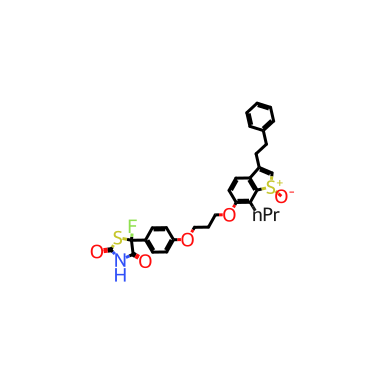 CCCc1c(OCCCOc2ccc(C3(F)SC(=O)NC3=O)cc2)ccc2c(CCc3ccccc3)c[s+]([O-])c12